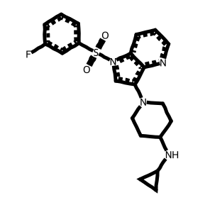 O=S(=O)(c1cccc(F)c1)n1cc(N2CCC(NC3CC3)CC2)c2ncccc21